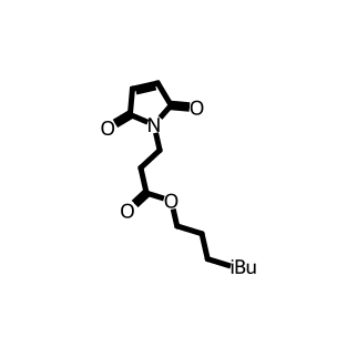 CCC(C)CCCOC(=O)CCN1C(=O)C=CC1=O